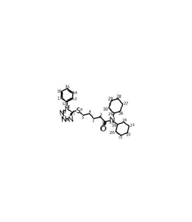 O=C(CCCCSc1nnnn1-c1ccccc1)N(C1CCCCC1)C1CCCCC1